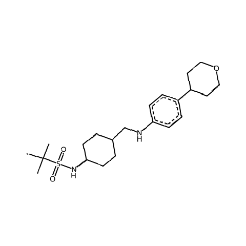 CC(C)(C)S(=O)(=O)NC1CCC(CNc2ccc(C3CCOCC3)cc2)CC1